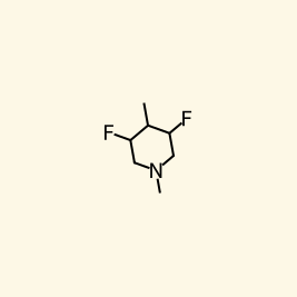 CC1C(F)CN(C)CC1F